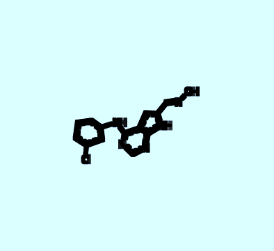 ON=Cc1cc2c(Nc3cccc(Cl)c3)ncnc2[nH]1